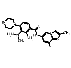 Cc1cn2cc(NC(=O)c3ccc(N4CCNCC4)c(N(C)N)c3N)cc(F)c2n1